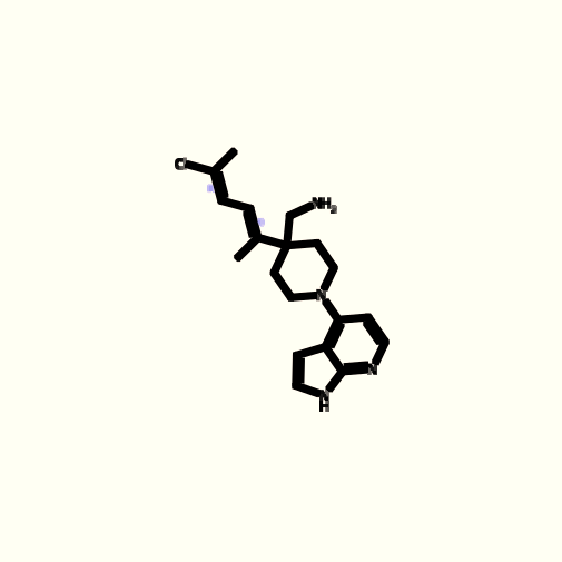 C/C(Cl)=C\C=C(/C)C1(CN)CCN(c2ccnc3[nH]ccc23)CC1